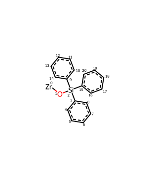 [Zr][O][Si](c1ccccc1)(c1ccccc1)c1ccccc1